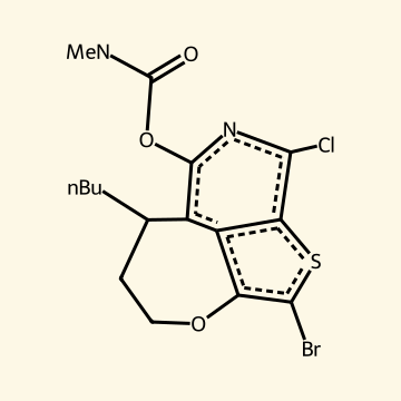 CCCCC1CCOc2c(Br)sc3c(Cl)nc(OC(=O)NC)c1c23